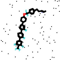 C/C=C/CCc1ccc(C(F)(F)OC2CCC(c3ccc(-c4ccc(-c5cc(F)c(C(F)F)c(F)c5)c(F)c4)c(F)c3)CC2)cc1